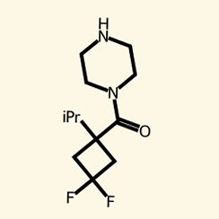 CC(C)C1(C(=O)N2CCNCC2)CC(F)(F)C1